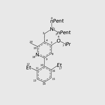 CCCCCN(CCCCC)Cc1c(OC(C)C)cc(-c2c(CC)cccc2CC)nc1C